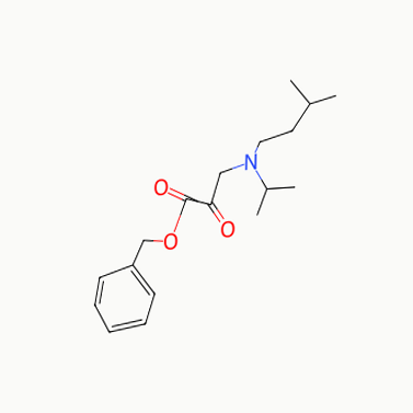 CC(C)CCN(CC(=O)C(=O)OCc1ccccc1)C(C)C